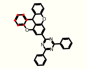 c1ccc(-c2nc(-c3ccccc3)nc(-c3cc4c5c(c3)Oc3ccccc3C5(c3ccccc3)c3ccccc3O4)n2)cc1